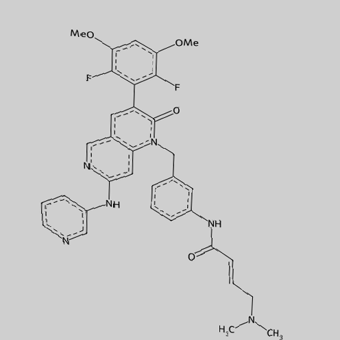 COc1cc(OC)c(F)c(-c2cc3cnc(Nc4cccnc4)cc3n(Cc3cccc(NC(=O)/C=C/CN(C)C)c3)c2=O)c1F